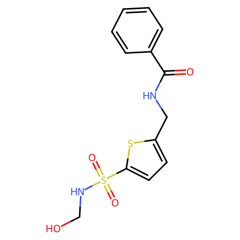 O=C(NCc1ccc(S(=O)(=O)NCO)s1)c1ccccc1